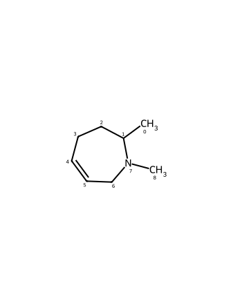 CC1CCC=CCN1C